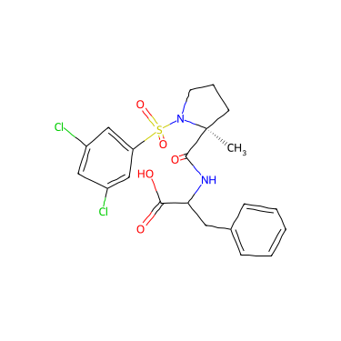 C[C@@]1(C(=O)NC(Cc2ccccc2)C(=O)O)CCCN1S(=O)(=O)c1cc(Cl)cc(Cl)c1